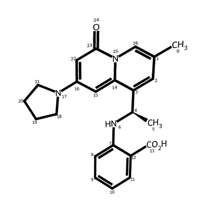 Cc1cc([C@@H](C)Nc2ccccc2C(=O)O)c2cc(N3CCCC3)cc(=O)n2c1